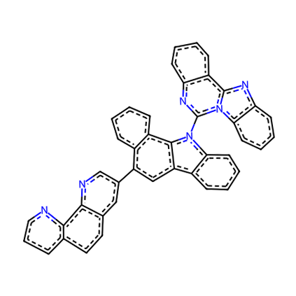 c1cnc2c(c1)ccc1cc(-c3cc4c5ccccc5n(-c5nc6ccccc6c6nc7ccccc7n56)c4c4ccccc34)cnc12